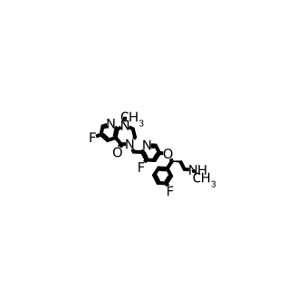 CNCC[C@H](Oc1cnc(CN2CCN(C)c3ncc(F)cc3C2=O)c(F)c1)c1cccc(F)c1